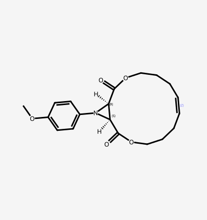 COc1ccc(N2[C@@H]3C(=O)OCCC/C=C\CCCOC(=O)[C@@H]32)cc1